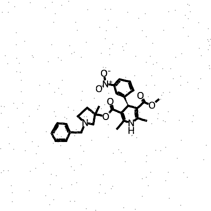 COC(=O)C1=C(C)NC(C)=C(C(=O)OC2(C)CCN(Cc3ccccc3)C2)[C@H]1c1cccc([N+](=O)[O-])c1